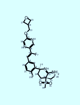 C[C@@]1(c2cc(/C=C(\F)c3cnc(OCC4COC4)cn3)ccc2F)CC[C@@](CF)(S(C)(=O)=O)C(N)=N1